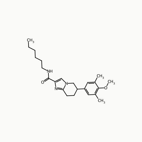 CCCCCCNC(=O)c1cn2c(n1)CCC(c1cc(C)c(OC)c(C)c1)C2